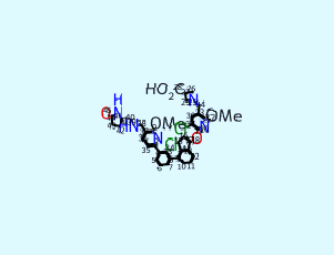 COc1nc(-c2cccc(-c3cccc4c3CC[C@@H]4Oc3nc(OC)c(CN4CC(C(=O)O)C4)cc3Cl)c2Cl)ccc1CNC[C@@H]1CCC(=O)N1